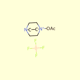 CC(=O)O[N+]12CCN(CC1)CC2.F[B-](F)(F)F